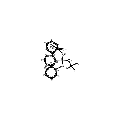 CC(C)(C)OC(Oc1ccccc1)(Oc1ccccc1)c1ccccc1C(=O)Cl